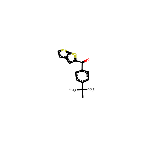 CCOC(=O)C(C)(C(=O)O)c1ccc(C(=O)c2cc3ccsc3s2)cc1